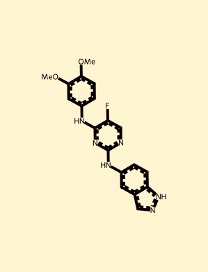 COc1ccc(Nc2nc(Nc3ccc4[nH]ncc4c3)ncc2F)cc1OC